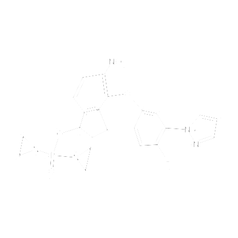 O=[N+]([O-])c1ccc2c(c1Oc1ccc(F)c(-n3cccn3)c1)CCC2OP(=O)(N1CC1)N1CC1